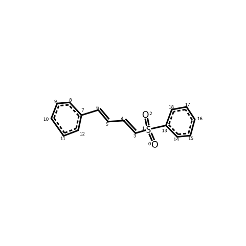 O=S(=O)(C=CC=Cc1ccccc1)c1ccccc1